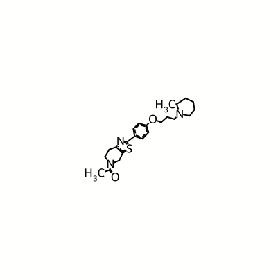 CC(=O)N1CCc2nc(-c3ccc(OCCCN4CCCCC4C)cc3)sc2C1